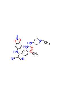 CCN1CCC(NC(=O)Nc2cc3c(Nc4ccc5c(c4)ONO5)c(C#N)cnc3cc2OC)CC1